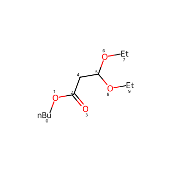 CCCCOC(=O)CC(OCC)OCC